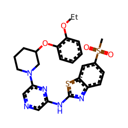 CCOc1ccccc1OC1CCCN(c2cncc(Nc3nc4ccc(S(C)(=O)=O)cc4s3)n2)C1